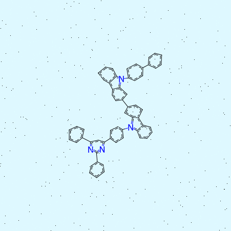 c1ccc(-c2ccc(-n3c4ccccc4c4ccc(-c5ccc6c7ccccc7n(-c7ccc(-c8cc(-c9ccccc9)nc(-c9ccccc9)n8)cc7)c6c5)cc43)cc2)cc1